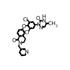 C=C1C=NN(c2cc(Cl)c(Oc3ccc4c(c3)CCN(Cc3cccnc3)C4=O)c(Cl)c2)C(=O)N1